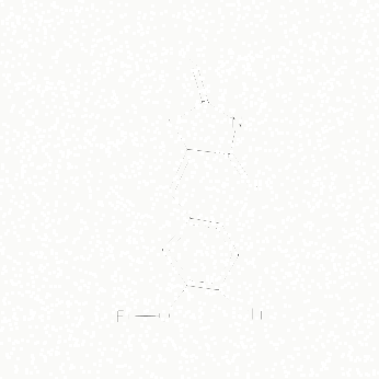 CCOc1cc(C=C2SC(=S)NC2=O)ccc1O